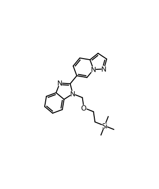 C[Si](C)(C)CCOCn1c(-c2ccc3ccnn3c2)nc2ccccc21